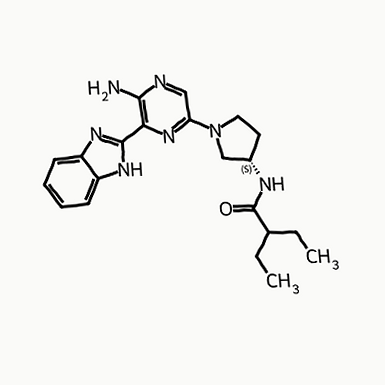 CCC(CC)C(=O)N[C@H]1CCN(c2cnc(N)c(-c3nc4ccccc4[nH]3)n2)C1